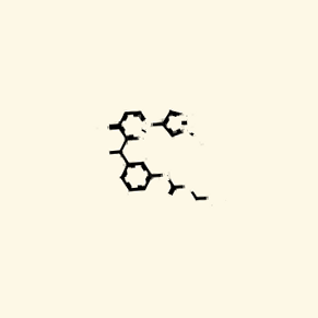 CCOC(=O)Nc1cccc(C(F)c2nn(-c3cnn(C)c3)ccc2=O)c1